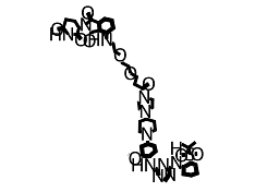 COc1cc(N2CCC(N3CCN(C(=O)CCOCCOCCNc4cccc5c4C(=O)N(C4CCC(=O)NC4=O)C5=O)CC3)CC2)ccc1Nc1ncnc(Nc2ccccc2S(=O)(=O)C(C)C)n1